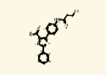 O=C(CCCl)Nc1ccc(-c2oc(-c3ccccc3)nc2C(=O)O)cc1